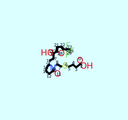 O=C(O)CCCSCCN1C(=O)CCC[C@@H]1CC[C@@H](O)c1ccc(C(F)(F)F)o1